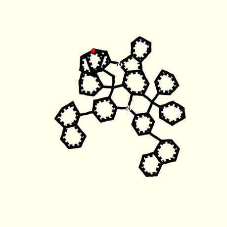 c1ccc(CC2(c3ccccc3)c3cc(-c4cccc5ccccc45)ccc3N3c4ccc(-c5cccc6ccccc56)cc4C(c4ccccc4)(c4ccccc4)c4cc5c6ccccc6n(-c6ccccc6)c5c2c43)cc1